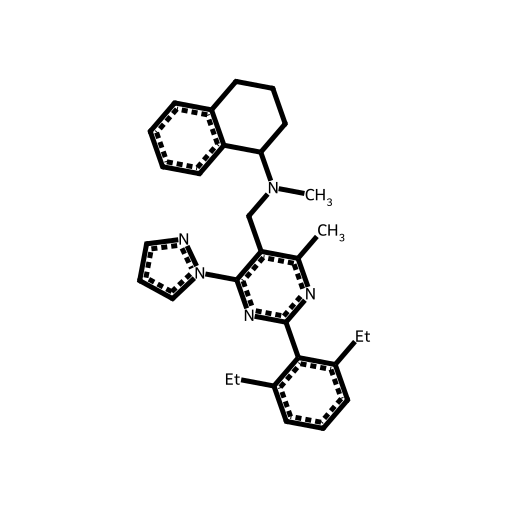 CCc1cccc(CC)c1-c1nc(C)c(CN(C)C2CCCc3ccccc32)c(-n2cccn2)n1